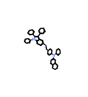 C(=C\c1ccc2c(c1)c(-c1ccccc1)c(-c1ccccc1)n2-c1ccccc1)/c1ccc(N(c2ccccc2)c2ccc3ccccc3c2)cc1